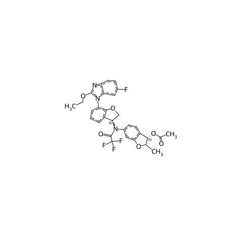 CCOc1nc2ccc(F)cc2n1-c1cccc2c1OC[C@H]2N(C(=O)C(F)(F)F)c1ccc2c(c1)OC(C)[C@H]2OC(C)=O